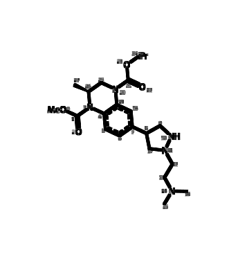 COC(=O)N1c2ccc(C3CNN(CCN(C)C)C3)cc2N(C(=O)OC(C)C)C[C@@H]1C